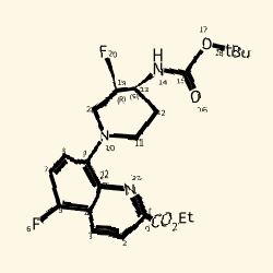 CCOC(=O)c1ccc2c(F)ccc(N3CC[C@H](NC(=O)OC(C)(C)C)[C@H](F)C3)c2n1